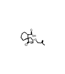 C=C(C)COC(C)CC1(C(=O)O)CCCCC1C(=O)O